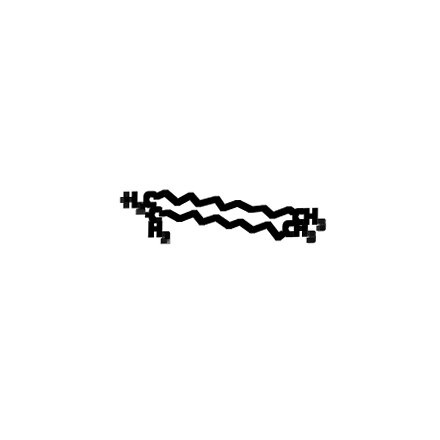 [CH2]CCCCCCCCCCC.[CH2]CCCCCCCCCCCC